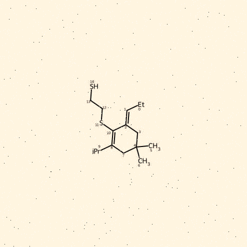 CC/C=C1\CC(C)(C)CC(C(C)C)=C1SCCS